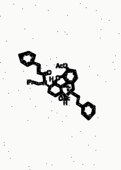 CC(=O)Oc1ccc2c3c1O[C@H]1[C@@H](N(CC(C)C)C(=O)C=Cc4ccccc4)CCC4(OC(C)=O)[C@@H](C2)N(CCc2ccccc2)CC[C@]314